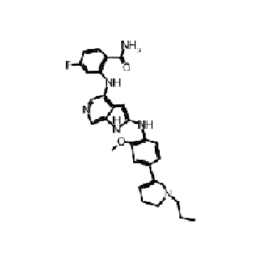 CCCN1CCC=C(c2ccc(Nc3cc4c(Nc5cc(F)ccc5C(N)=O)cncc4[nH]3)c(OC)c2)C1